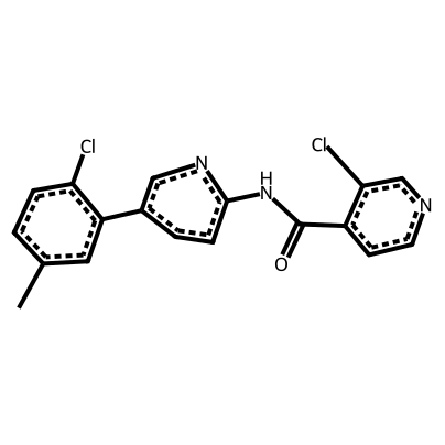 Cc1ccc(Cl)c(-c2ccc(NC(=O)c3ccncc3Cl)nc2)c1